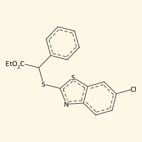 CCOC(=O)C(Sc1nc2ccc(Cl)cc2s1)c1ccccc1